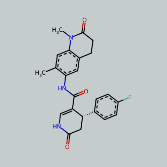 Cc1cc2c(cc1NC(=O)C1=CNC(=O)C[C@H]1c1ccc(F)cc1)CCC(=O)N2C